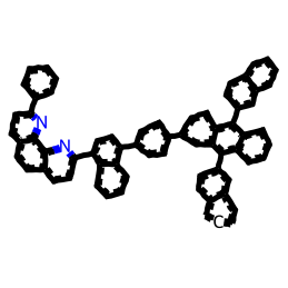 c1ccc(-c2ccc3ccc4ccc(-c5ccc(-c6ccc(-c7ccc8c(-c9ccc%10ccccc%10c9)c9ccccc9c(-c9ccc%10ccccc%10c9)c8c7)cc6)c6ccccc56)nc4c3n2)cc1